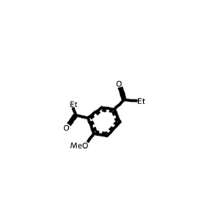 CCC(=O)c1ccc(OC)c(C(=O)CC)c1